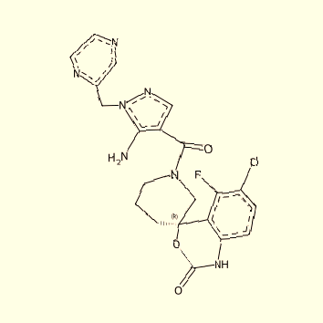 Nc1c(C(=O)N2CCC[C@@]3(C2)OC(=O)Nc2ccc(Cl)c(F)c23)cnn1Cc1cnccn1